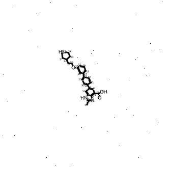 Cc1nc2c(C(=O)O)cc(-c3ccc(-c4cccc(OCCC5CCNCC5)c4)cc3)cc2[nH]1